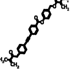 C=C(C)C(=O)Cc1ccc(C#Cc2ccc(C(=O)Oc3ccc(COC(=O)C(=C)C)cc3)cc2)cc1